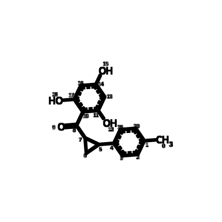 Cc1ccc(C2CC2C(=O)c2c(O)cc(O)cc2O)cc1